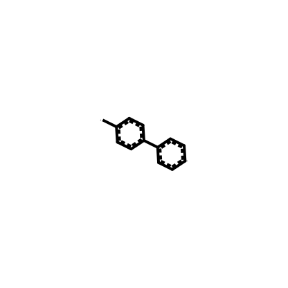 [CH2]c1ccc(-c2cc[c]cc2)cc1